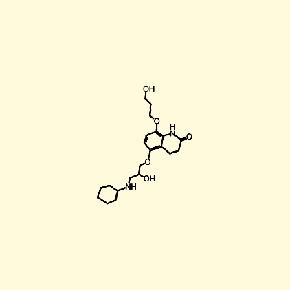 O=C1CCc2c(OCC(O)CNC3CCCCC3)ccc(OCCCO)c2N1